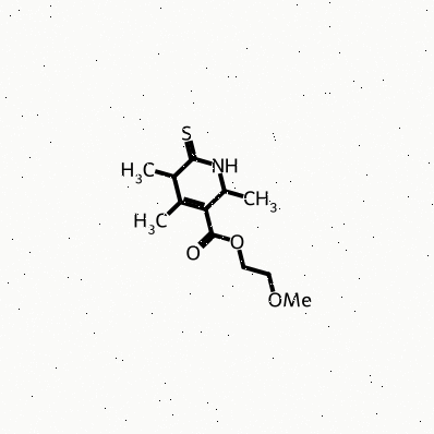 COCCOC(=O)C1=C(C)C(C)C(=S)NC1C